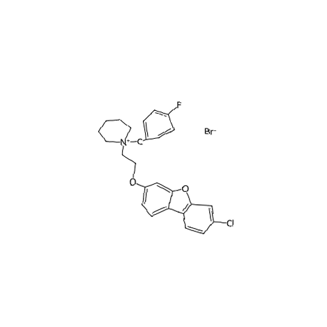 Fc1ccc(C[N+]2(CCOc3ccc4c(c3)oc3cc(Cl)ccc34)CCCCC2)cc1.[Br-]